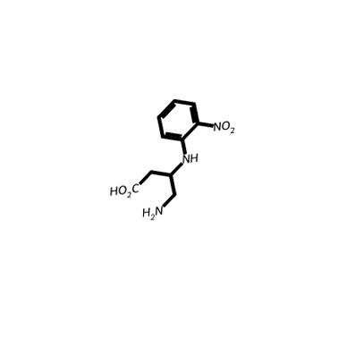 NCC(CC(=O)O)Nc1ccccc1[N+](=O)[O-]